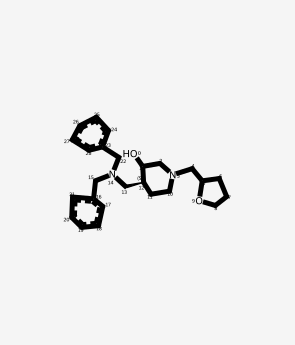 OC1CN(CC2CCCO2)CC[C@H]1CN(Cc1ccccc1)Cc1ccccc1